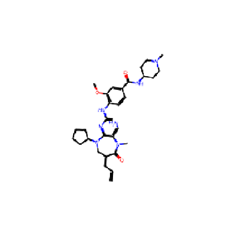 C=CCC1CN(C2CCCC2)C(=N/C(=C)Nc2ccc(C(=O)NC3CCN(C)CC3)cc2OC)/C(=C\N)N(C)C1=O